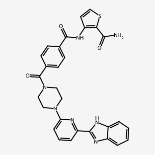 NC(=O)c1sccc1NC(=O)c1ccc(C(=O)N2CCN(c3cccc(-c4nc5ccccc5[nH]4)n3)CC2)cc1